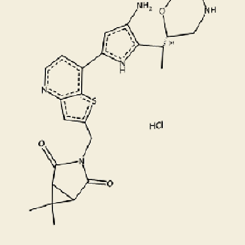 CC(c1[nH]c(-c2ccnc3cc(CN4C(=O)C5C(C4=O)C5(C)C)sc23)cc1N)[C@H]1CNCCO1.Cl